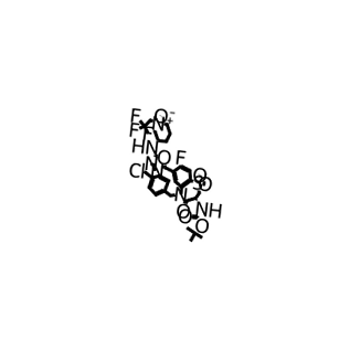 CC(C)(C)OC(=O)N[C@H]1CS(=O)(=O)c2cc(F)c(-c3nnc(NC4CCC[N+]([O-])(CC(F)(F)F)C4)o3)cc2N(Cc2ccc(Cl)cc2)C1=O